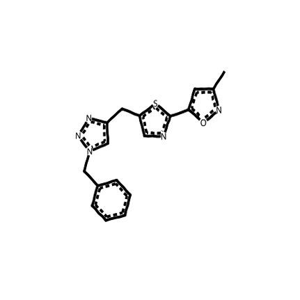 Cc1cc(-c2ncc(Cc3cn(Cc4ccccc4)nn3)s2)on1